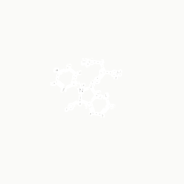 CCC(=O)O.O=C1c2ccccc2CN1c1ccccc1